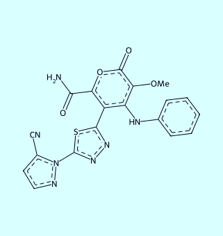 COc1c(Nc2ccccc2)c(-c2nnc(-n3nccc3C#N)s2)c(C(N)=O)oc1=O